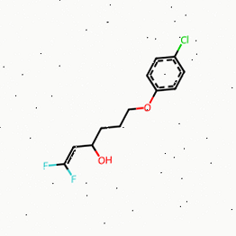 OC(C=C(F)F)CCCOc1ccc(Cl)cc1